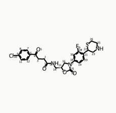 O=C(CCC(=O)c1ccc(Cl)cc1)NC[C@H]1CN(c2ccc(C3CNCCS3)c(F)c2)C(=O)O1